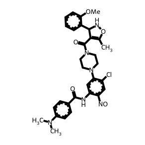 COc1ccccc1C1NOC(C)=C1C(=O)N1CCN(c2cc(NC(=O)c3ccc(N(C)C)cc3)c(N=O)cc2Cl)CC1